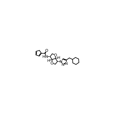 O=C(N[C@H]1CO[C@H]2[C@@H]1OC[C@@H]2n1cc(CC2CCCCC2)nn1)C1=CC=CC1